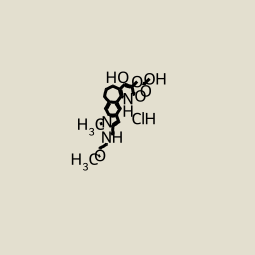 COCCNCc1cc2cc3c(cc2n1C)CCCc1c-3[nH]c(=O)c(OC(=O)O)c1O.Cl